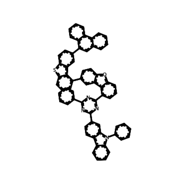 c1ccc(-c2nc(-c3ccc4c5ccccc5n(-c5ccccc5)c4c3)nc(-c3cccc4oc5ccc(-c6cccc7sc8ccc(-c9cc%10ccccc%10c%10ccccc9%10)cc8c67)cc5c34)n2)cc1